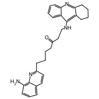 Nc1cccc2ccc(CCCCC(=O)CCNc3c4c(nc5ccccc35)CCCC4)nc12